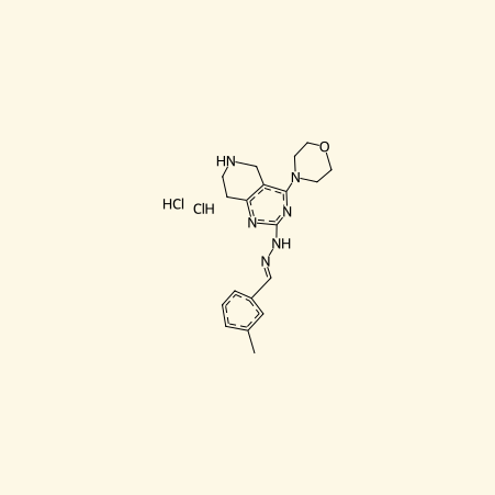 Cc1cccc(/C=N/Nc2nc3c(c(N4CCOCC4)n2)CNCC3)c1.Cl.Cl